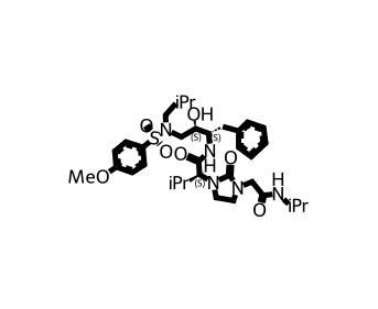 COc1ccc(S(=O)(=O)N(CC(C)C)C[C@H](O)[C@H](Cc2ccccc2)NC(=O)[C@H](C(C)C)N2CCN(CC(=O)NC(C)C)C2=O)cc1